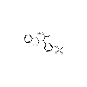 COC(=O)C(c1cccc(OS(C)(=O)=O)c1)C(N)Cc1ccccc1